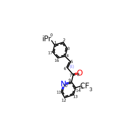 CC(C)c1ccc(/C=C/C(=O)c2ncccc2C(F)(F)F)cc1